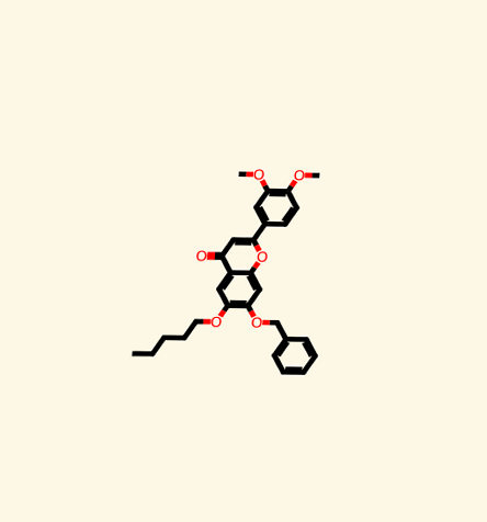 CCCCCOc1cc2c(=O)cc(-c3ccc(OC)c(OC)c3)oc2cc1OCc1ccccc1